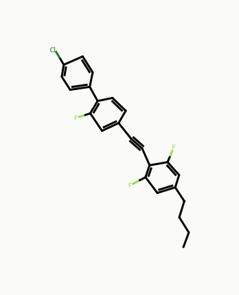 CCCCc1cc(F)c(C#Cc2ccc(-c3ccc(Cl)cc3)c(F)c2)c(F)c1